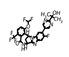 CC(C)(O)c1ncc(-c2cc3c(cc2F)nc2n3[C@@H]3C[C@H]2NC(=O)c2c(C(F)(F)F)ccc(OC(F)F)c23)cn1